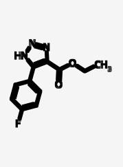 CCOC(=O)c1nn[nH]c1-c1ccc(F)cc1